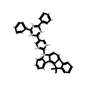 CC1(C)c2ccccc2-c2ccc3c(c21)c1ccccc1n3-c1ncc(-c2nc(-c3ccccc3)nc(-c3ccccc3)n2)cn1